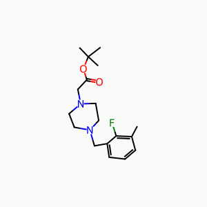 Cc1cccc(CN2CCN(CC(=O)OC(C)(C)C)CC2)c1F